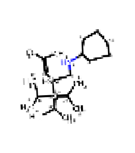 CC(C)=C[SiH](CNC1CCCCC1)[Si](C(C)C)(C(C)C)C(C)C